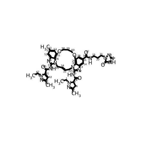 CCN1N=C(C)CC1C(=O)Nc1nc2cc(C(=O)NCCCn3nn[nH]c3=O)cc3c2n1C/C=C/Cn1c(NC(=O)c2cc(C)nn2CC)nc2cc(C)cc(c21)OCCCO3